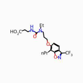 CCCc1c(OCCCN(CC)C(=O)NCCC(=O)O)ccc2c(C(F)(F)F)noc12